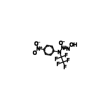 O=[N+]([O-])c1ccc(N(/[N+]([O-])=N/O)C(F)(F)C(F)(F)F)cc1